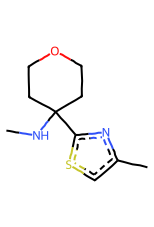 CNC1(c2nc(C)cs2)CCOCC1